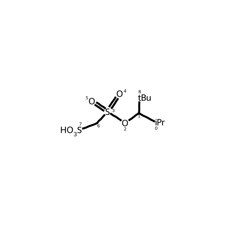 CC(C)C(OS(=O)(=O)CS(=O)(=O)O)C(C)(C)C